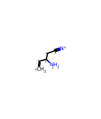 C=CC(N)CC#N